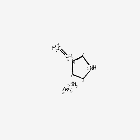 C1CCNC1.C=C.N.N